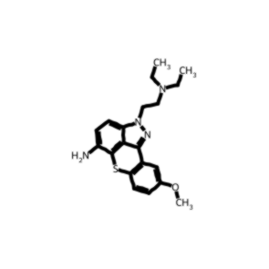 CCN(CC)CCn1nc2c3c(c(N)ccc31)Sc1ccc(OC)cc1-2